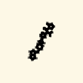 CC(C)C(C(=O)N1CCCC1C)c1cc(N2CC3(CCN(CC4CCC5CCCN54)CC3)C2)no1